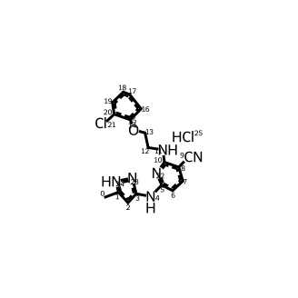 Cc1cc(Nc2ccc(C#N)c(NCCOc3ccccc3Cl)n2)n[nH]1.Cl